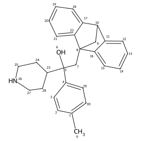 Cc1ccc(C(O)(CC23CC(c4ccccc42)c2ccccc23)C2CCNCC2)cc1